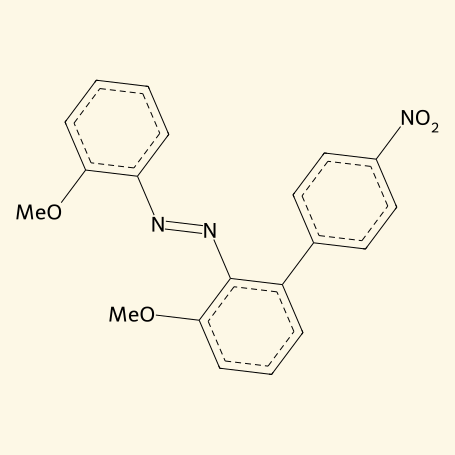 COc1ccccc1N=Nc1c(OC)cccc1-c1ccc([N+](=O)[O-])cc1